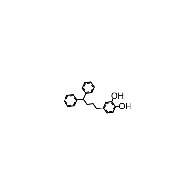 Oc1ccc(CCCC(c2ccccc2)c2ccccc2)cc1O